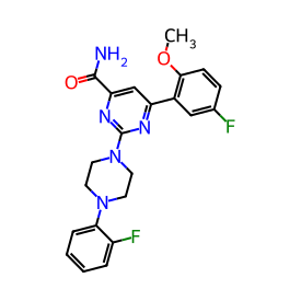 COc1ccc(F)cc1-c1cc(C(N)=O)nc(N2CCN(c3ccccc3F)CC2)n1